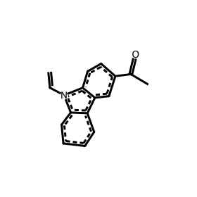 C=Cn1c2ccccc2c2cc(C(C)=O)ccc21